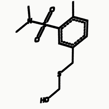 Cc1ccc(CSCO)cc1S(=O)(=O)N(C)C